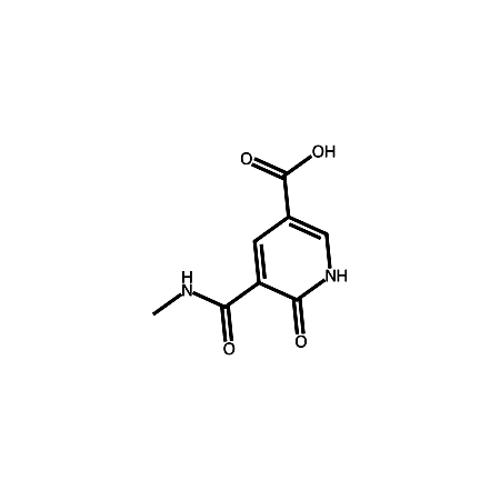 CNC(=O)c1cc(C(=O)O)c[nH]c1=O